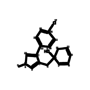 Cn1cc(CC2(O)C=CC=CC2)c(-c2ccc(Cl)cc2)c1